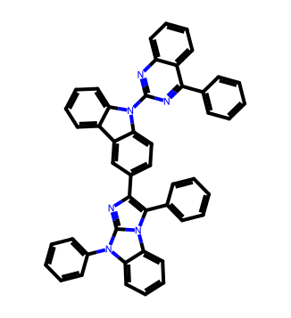 c1ccc(-c2nc(-n3c4ccccc4c4cc(-c5nc6n(-c7ccccc7)c7ccccc7n6c5-c5ccccc5)ccc43)nc3ccccc23)cc1